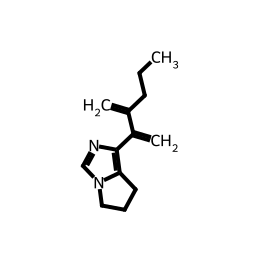 C=C(CCC)C(=C)c1ncn2c1CCC2